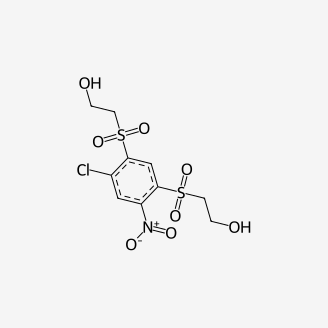 O=[N+]([O-])c1cc(Cl)c(S(=O)(=O)CCO)cc1S(=O)(=O)CCO